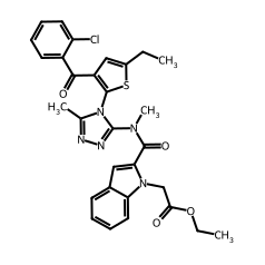 CCOC(=O)Cn1c(C(=O)N(C)c2nnc(C)n2-c2sc(CC)cc2C(=O)c2ccccc2Cl)cc2ccccc21